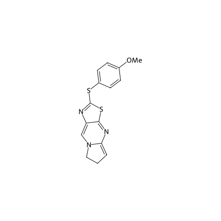 COc1ccc(Sc2nc3c(s2)=NC2=CCCN2C=3)cc1